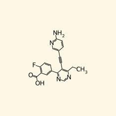 CCc1ncnc(-c2ccc(F)c(C(=O)O)c2)c1C#Cc1ccc(N)nc1